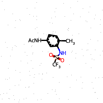 CC(=O)Nc1ccc(C)c(NS(=O)(=O)C(F)(F)F)c1